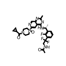 CC(=O)NCC(F)(F)c1cccc([C@@H](C)Nc2nc(C)nc3cnc(P4(=O)CCN(C(=O)C5CC5)CC4)cc23)c1F